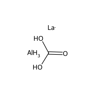 O=C(O)O.[AlH3].[La]